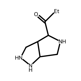 CCC(=O)C1NCC2NNCC21